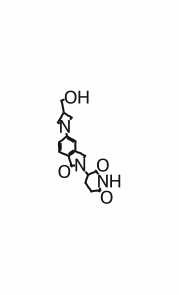 O=C1CCC(N2Cc3cc(N4CC(CO)C4)ccc3C2=O)C(=O)N1